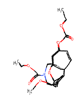 CCOC(=O)OC1C=C[C@@]23CCN(C(=O)OCC)Cc4ccc(OC)c(c42)OC3C1